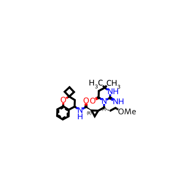 COCC[C@H](C1C[C@H]1C(=O)NC1CC2(CCC2)Oc2ccccc21)N1C(=N)NC(C)(C)CC1=O